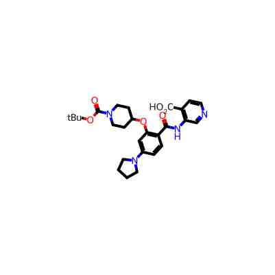 CC(C)(C)OC(=O)N1CCC(Oc2cc(N3CCCC3)ccc2C(=O)Nc2cnccc2C(=O)O)CC1